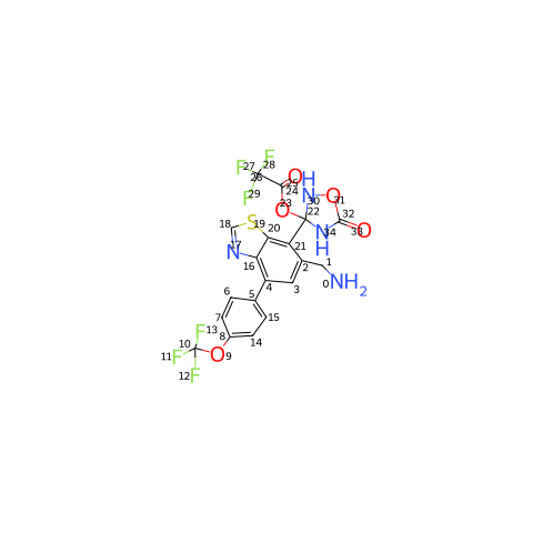 NCc1cc(-c2ccc(OC(F)(F)F)cc2)c2ncsc2c1C1(OC(=O)C(F)(F)F)NOC(=O)N1